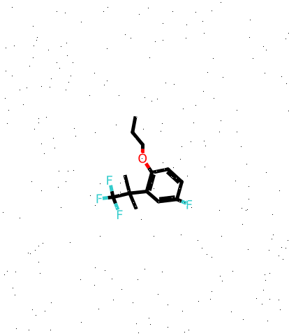 CCCOc1ccc(F)cc1C(C)(C)C(F)(F)F